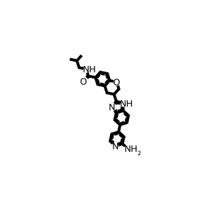 CC(C)CNC(=O)c1ccc2c(c1)CC(c1nc3cc(-c4ccnc(N)c4)ccc3[nH]1)CO2